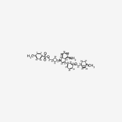 Cc1ccc(S(=O)(=O)OCC2CC(n3cc(-c4cccc(OCC56CCC(C)(CC5)O6)c4)c4c(N)ncnc43)C2)cc1